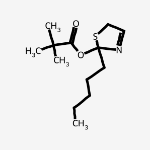 CCCCCC1(OC(=O)C(C)(C)C)N=CCS1